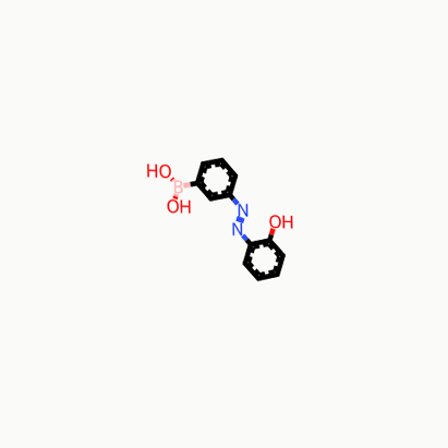 OB(O)c1cccc(N=Nc2ccccc2O)c1